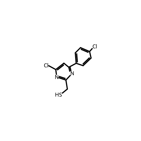 SCc1nc(Cl)cc(-c2ccc(Cl)cc2)n1